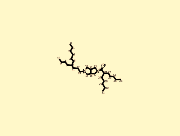 CCCCCCC(CCCC)CCCN1CC2CN(C(=O)C(CCCCC)CCCCC)CC2C1